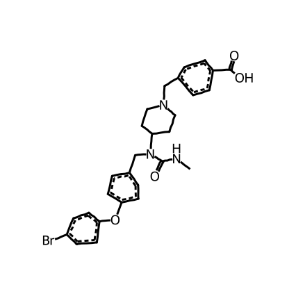 CNC(=O)N(Cc1ccc(Oc2ccc(Br)cc2)cc1)C1CCN(Cc2ccc(C(=O)O)cc2)CC1